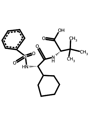 CC(C)(C)[C@H](NC(=O)[C@@H](NS(=O)(=O)c1ccccc1)C1CCCCC1)C(=O)O